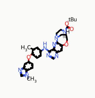 Cc1cc(Nc2ncnc3cc4c(nc23)N2CCN(C(=O)OC(C)(C)C)[C@H](CO4)C2)ccc1Oc1ccc2c(c1)ncn2C